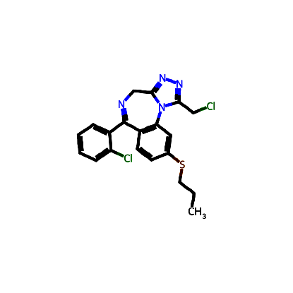 CCCSc1ccc2c(c1)-n1c(CCl)nnc1CN=C2c1ccccc1Cl